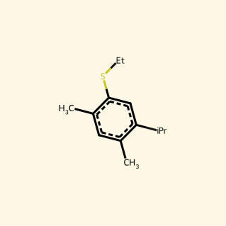 CCSc1cc(C(C)C)c(C)cc1C